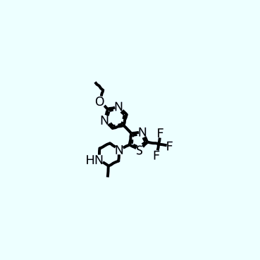 CCOc1ncc(-c2nc(C(F)(F)F)sc2N2CCNC(C)C2)cn1